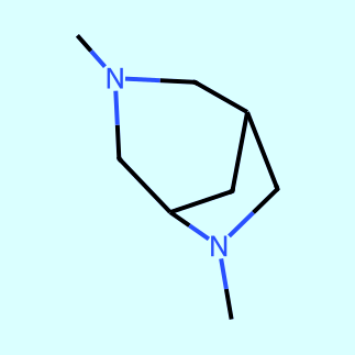 CN1CC2CC(C1)N(C)C2